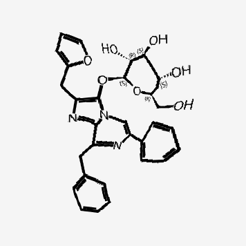 OC[C@H]1O[C@@H](Oc2c(Cc3ccco3)nc3c(Cc4ccccc4)nc(-c4ccccc4)cn23)[C@H](O)[C@@H](O)[C@@H]1O